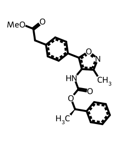 COC(=O)Cc1ccc(-c2onc(C)c2NC(=O)O[C@H](C)c2ccccc2)cc1